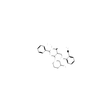 CN1C(=O)C(CNc2ccccc2C#N)C(N2CCCC(N)C2)NC1c1ccccc1